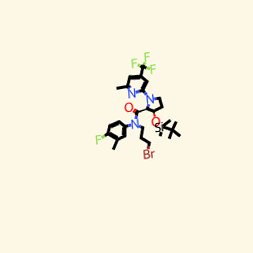 Cc1cc(C(F)(F)F)cc(N2CC[C@@H](O[Si](C)(C)C(C)(C)C)[C@H]2C(=O)N(CCCBr)c2ccc(F)c(C)c2)n1